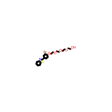 OCCOCCOCCOCCOc1ccc(-c2nc3ccccc3s2)cc1Br